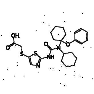 O=C(O)CSc1cnc(NC(=O)N(C2CCCCC2)C2(Oc3ccccc3)CCCCC2)s1